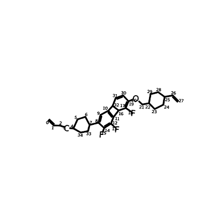 C=CCCC1CCC(c2cc3c(c(F)c2F)C2C(F)=C(OCC4CCC(C=C)CC4)C=CC32)CC1